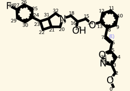 COCc1cc(/C=C/c2ccccc2OCC(O)CN2CC3CC(c4ccc(F)cc4)C3C2)on1